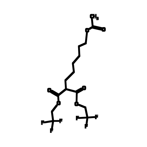 CC(=O)OCCCCCCC(C(=O)OCC(F)(F)F)C(=O)OCC(F)(F)F